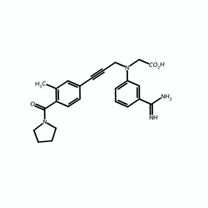 Cc1cc(C#CCN(CC(=O)O)c2cccc(C(=N)N)c2)ccc1C(=O)N1CCCC1